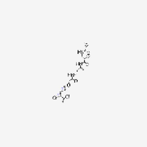 C=C(CCNC(=O)CO/C=C/C=C(/Cl)C(=C)Cl)NC(=O)C1CNC(C2CC2)OO1